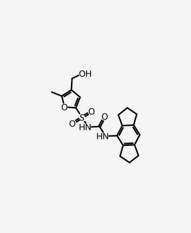 Cc1oc(S(=O)(=O)NC(=O)Nc2c3c(cc4c2CCC4)CCC3)cc1CO